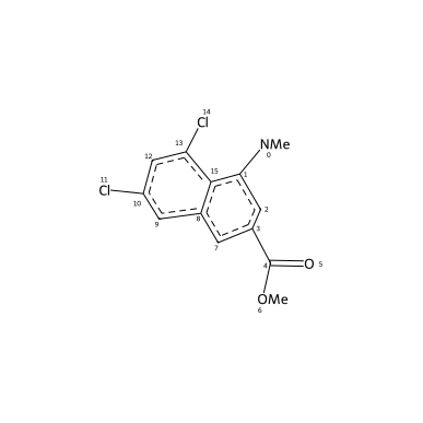 CNc1cc(C(=O)OC)cc2cc(Cl)cc(Cl)c12